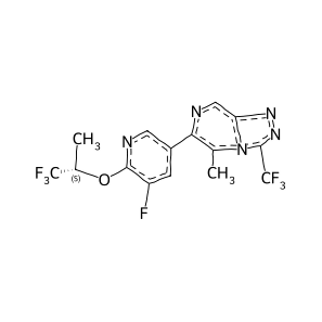 Cc1c(-c2cnc(O[C@@H](C)C(F)(F)F)c(F)c2)ncc2nnc(C(F)(F)F)n12